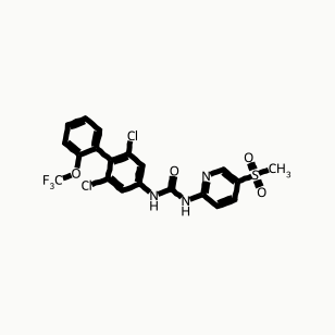 CS(=O)(=O)c1ccc(NC(=O)Nc2cc(Cl)c(-c3ccccc3OC(F)(F)F)c(Cl)c2)nc1